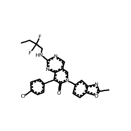 CCC(F)(F)CNc1ncc2cn(-c3ccc4oc(C)nc4c3)c(=O)c(-c3ccc(Cl)cc3)c2n1